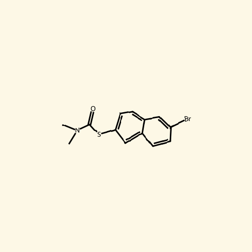 CN(C)C(=O)Sc1ccc2cc(Br)ccc2c1